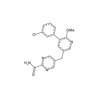 COc1ncc(Cc2cnc(C(N)=O)nc2)cc1-c1cccc(Cl)c1